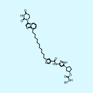 CC(C)NC(=O)O[C@@H]1CC[C@H](c2cc(NC(=O)c3cnn(CCCCCCCCCCCc4cccn5c(N6CCC(=O)NC6=O)cnc45)c3)n[nH]2)C1